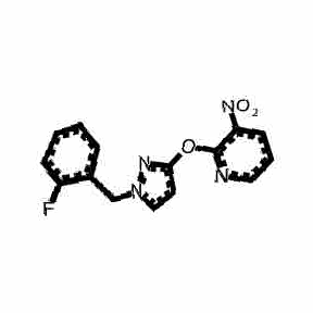 O=[N+]([O-])c1cccnc1Oc1ccn(Cc2ccccc2F)n1